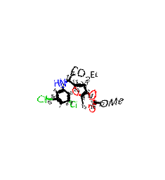 CCOC(=O)C(Nc1cc(Cl)cc(Cl)c1)c1cc(OC(=O)OC)c(C)o1